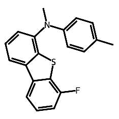 Cc1ccc(N(C)c2cccc3c2sc2c(F)cccc23)cc1